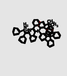 CC1(C)c2ccccc2-c2c(N(C3=C(c4ccccc4)N/C(=C(/c4ccccc4)C(N)c4ccccc4)c4ccccc43)c3ccc4c(c3)C(c3ccccc3)(c3ccccc3)c3ccccc3-4)cccc21